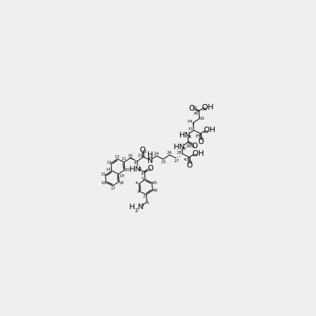 NCc1ccc(C(=O)N[C@@H](Cc2ccc3ccccc3c2)C(=O)NCCCC[C@H](NC(=O)N[C@@H](CCC(=O)O)C(=O)O)C(=O)O)cc1